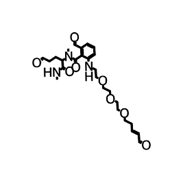 CNC(=O)C(CCC=O)N(C)C(=O)c1c(C=O)cccc1NCCOCCOCCOCC/C=C/C=O